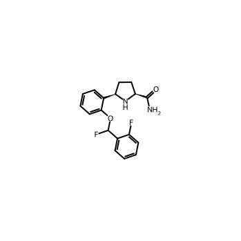 NC(=O)[C@@H]1CC[C@H](c2ccccc2OC(F)c2ccccc2F)N1